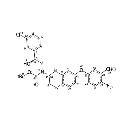 CC(C)(C)OC(=O)N(C[C@@H](O)c1cccc(Cl)c1)[C@H]1CCc2ccc(Oc3ccc(F)c(C=O)c3)cc2C1